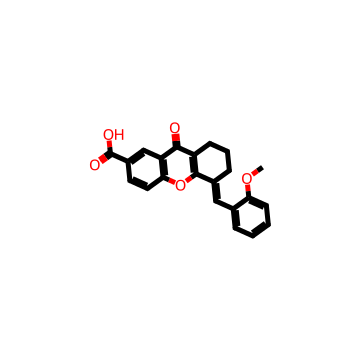 COc1ccccc1C=C1CCCc2c1oc1ccc(C(=O)O)cc1c2=O